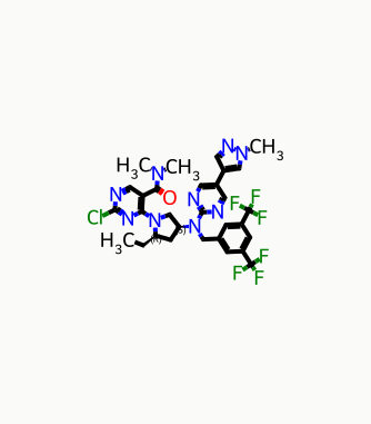 CC[C@@H]1C[C@H](N(Cc2cc(C(F)(F)F)cc(C(F)(F)F)c2)c2ncc(-c3cnn(C)c3)cn2)CN1c1nc(Cl)ncc1C(=O)N(C)C